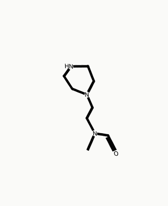 CN(C=O)CCN1CCNCC1